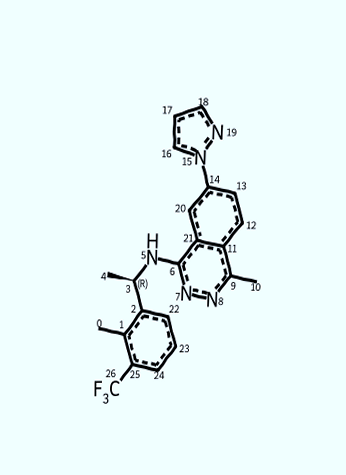 Cc1c([C@@H](C)Nc2nnc(C)c3ccc(-n4cccn4)cc23)cccc1C(F)(F)F